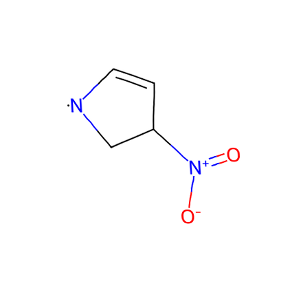 O=[N+]([O-])C1C=C[N]C1